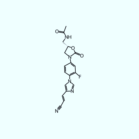 CC(=O)NC[C@H]1CN(c2ccc(-n3cnc(/C=C/C#N)c3)c(F)c2)C(=O)O1